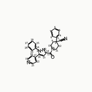 N#CC1(c2ccccc2)CCN(C(=O)c2cc(-c3ccncc3)n(-c3ccccc3)n2)CC1